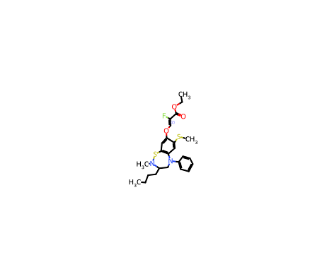 CCCCC1CN(c2ccccc2)c2cc(SC)c(O/C=C(\F)C(=O)OCC)cc2SN1C